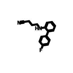 N#CCCCNc1ccccc1-c1ccc(F)cc1